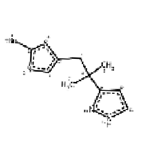 CC(C)(C)c1ncc(CC(C)(C)c2cc[nH]n2)s1